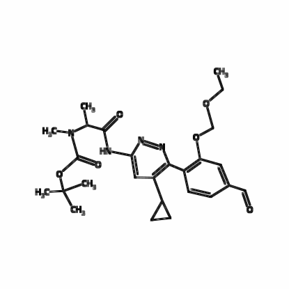 CCOCOc1cc(C=O)ccc1-c1nnc(NC(=O)C(C)N(C)C(=O)OC(C)(C)C)cc1C1CC1